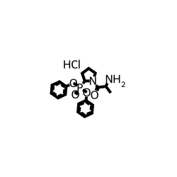 CC(N)C(=O)N1CCCC1P(=O)(Oc1ccccc1)Oc1ccccc1.Cl